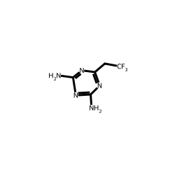 Nc1nc(N)nc(CC(F)(F)F)n1